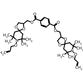 C=CCON1C(C)(C)CC2(CC1(C)C)OCC(COC(=O)c1ccc(C(=O)OCC3COC4(CC(C)(C)N(OCC=C)C(C)(C)C4)O3)cc1)O2